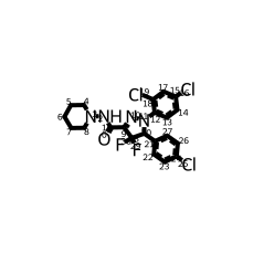 O=C(NN1CCCCC1)C1=NN(c2ccc(Cl)cc2Cl)C(c2ccc(Cl)cc2)C1(F)F